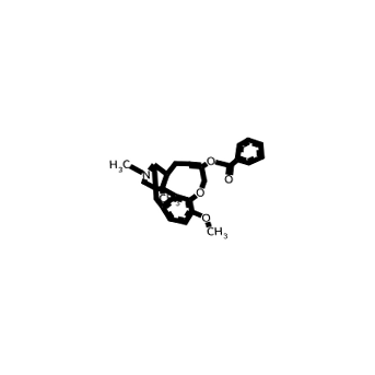 COc1ccc2c3c1OC/C(OC(=O)c1ccccc1)=C\CC1C(C2)N(C)CCC31C